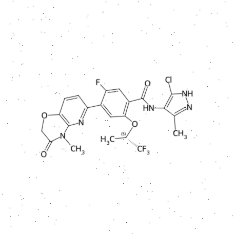 Cc1n[nH]c(Cl)c1NC(=O)c1cc(F)c(-c2ccc3c(n2)N(C)C(=O)CO3)cc1O[C@@H](C)C(F)(F)F